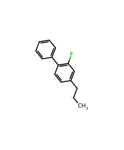 C[CH]Cc1ccc(-c2ccccc2)c(F)c1